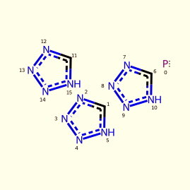 [P].c1nnn[nH]1.c1nnn[nH]1.c1nnn[nH]1